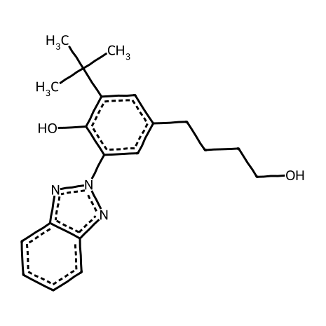 CC(C)(C)c1cc(CCCCO)cc(-n2nc3ccccc3n2)c1O